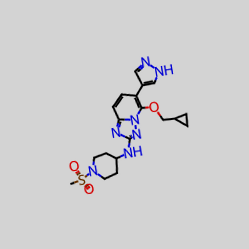 CS(=O)(=O)N1CCC(Nc2nc3ccc(-c4cn[nH]c4)c(OCC4CC4)n3n2)CC1